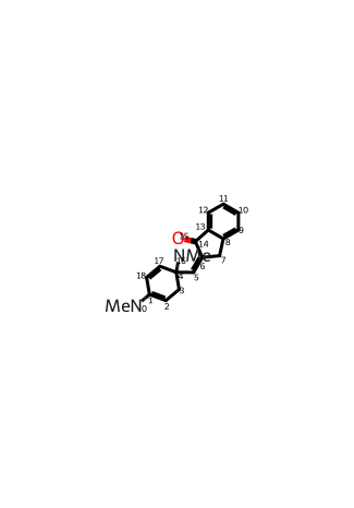 CNC1=CCC(C=C2Cc3ccccc3C2=O)(NC)C=C1